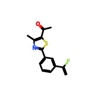 C=C(F)c1cccc(-c2nc(C)c(C(C)=O)s2)c1